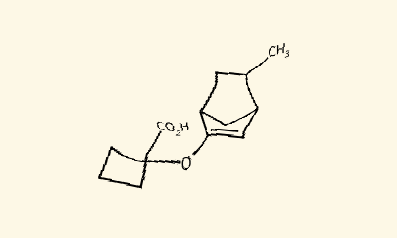 CC1CC2CC1C=C2OC1(C(=O)O)CCC1